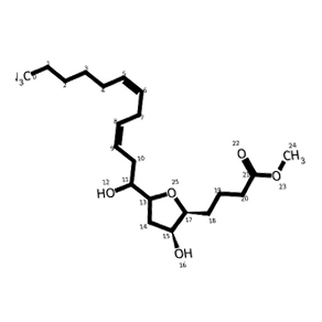 CCCCC/C=C\C/C=C\CC(O)C1C[C@H](O)[C@H](CCCC(=O)OC)O1